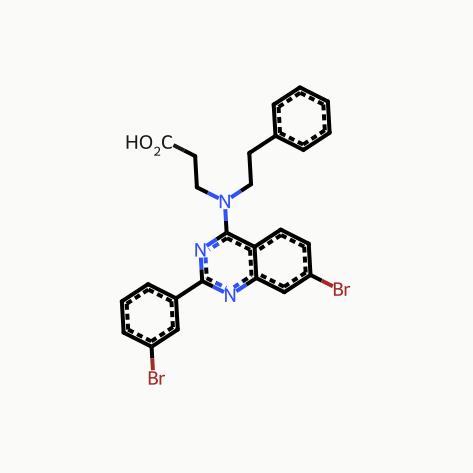 O=C(O)CCN(CCc1ccccc1)c1nc(-c2cccc(Br)c2)nc2cc(Br)ccc12